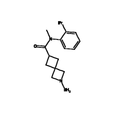 BN1CC2(CC(C(=O)N(C)c3ccccc3C(C)C)C2)C1